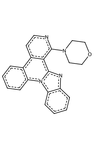 c1ccc2c(c1)nc1c3c(N4CCOCC4)nccc3c3ccccc3n21